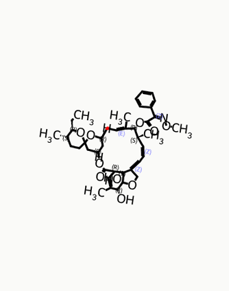 CC[C@H]1OC2(CC[C@@H]1C)C[C@@H]1C[C@@H](C/C=C(\C)[C@H](OC(=O)/C(=N\OC)c3ccccc3)[C@@H](C)/C=C\C=C3\COC4[C@H](O)C(C)=C[C@@H](C(=O)O1)[C@]34O)O2